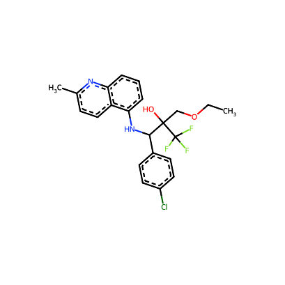 CCOCC(O)(C(Nc1cccc2nc(C)ccc12)c1ccc(Cl)cc1)C(F)(F)F